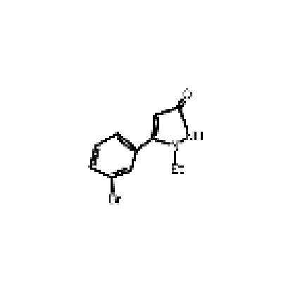 CCn1[nH]c(=O)cc1-c1cccc(Br)c1